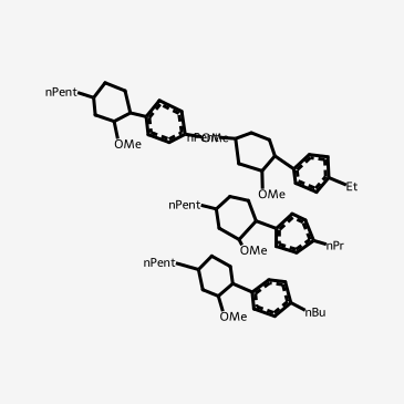 CCCCCC1CCC(c2ccc(CC)cc2)C(OC)C1.CCCCCC1CCC(c2ccc(CCC)cc2)C(OC)C1.CCCCCC1CCC(c2ccc(CCCC)cc2)C(OC)C1.CCCCCC1CCC(c2ccc(OC)cc2)C(OC)C1